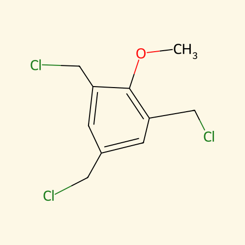 COc1c(CCl)cc(CCl)cc1CCl